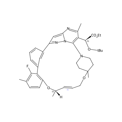 CCOC(=O)[C@@H](OC(C)(C)C)c1c(C)nc2cc3nn2c1N1CCC(C)(CC1)OC/C=C/[C@H](C)Oc1ccc(C)c(F)c1-c1cccc-3c1